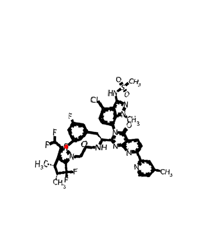 Cc1ccnc(-c2ccc3c(=O)n(-c4ccc(Cl)c5c(NS(C)(=O)=O)nn(C)c45)c([C@H](Cc4cc(F)cc(F)c4)NC(=O)Cn4nc(C(F)F)c5c4C(F)(F)[C@H](C)[C@@H]5C)nc3n2)c1